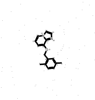 Cc1ccc(C)c(COc2cccn3ccnc23)c1